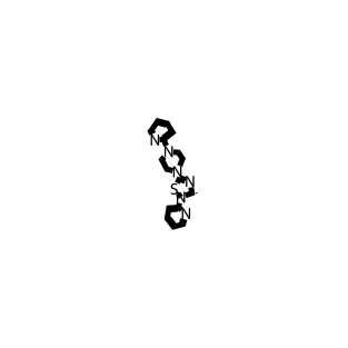 [CH]1N=C(N2CCN(c3ccccn3)CC2)SN1c1ccccn1